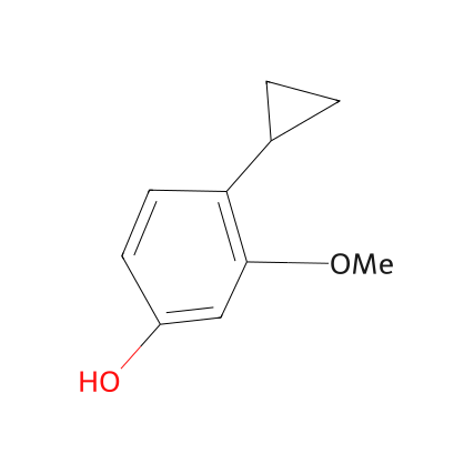 COc1cc(O)ccc1C1CC1